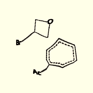 BrC1COC1.CC(=O)c1ccccc1